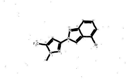 Cn1nc(-n2cc3c(Br)cccc3n2)cc1C(F)(F)F